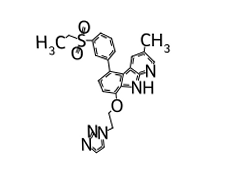 CCS(=O)(=O)c1cccc(-c2ccc(OCCn3ccnn3)c3[nH]c4ncc(C)cc4c23)c1